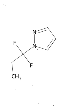 CCC(F)(F)n1cccn1